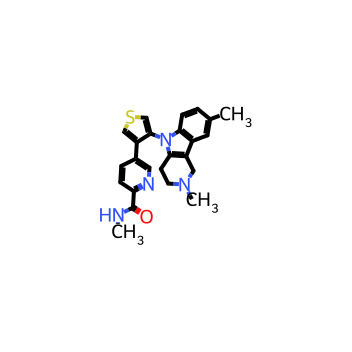 CNC(=O)c1ccc(-c2cscc2-n2c3c(c4cc(C)ccc42)CN(C)CC3)cn1